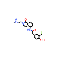 CNCCn1ccc2c(NC(=O)Cc3ccc(O)c(CF)c3)cccc2c1=O